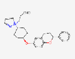 O=CCC[N+]1([C@H]2CC[C@H](Oc3ccc4c(c3)CCC(c3ccccc3)O4)CC2)C=CC=N1